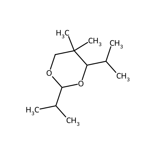 CC(C)C1OCC(C)(C)C(C(C)C)O1